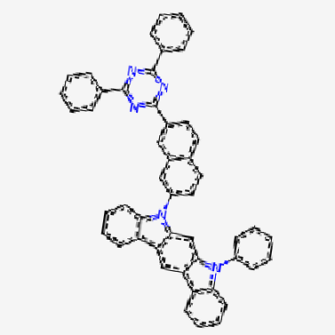 c1ccc(-c2nc(-c3ccccc3)nc(-c3ccc4ccc(-n5c6ccccc6c6cc7c8ccccc8n(-c8ccccc8)c7cc65)cc4c3)n2)cc1